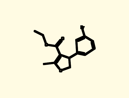 CCOC(=O)C1=C(C)OCC1c1cccc(Br)c1